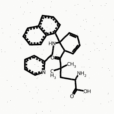 CC(C)(CC(N)C(=O)O)C(=O)C1C=CC=CC1(NCc1ccccn1)c1cccc2ccccc12